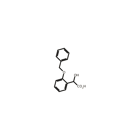 O=C(O)C(O)c1ccccc1OCc1ccccc1